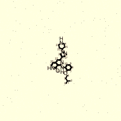 CC(C)CCOc1ccccc1Nc1nc(-c2cnn(C3CCNCC3)c2)cc2cc[nH]c(=O)c12